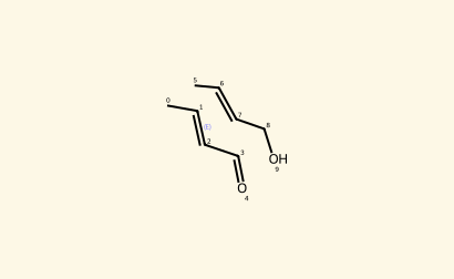 C/C=C/C=O.CC=CCO